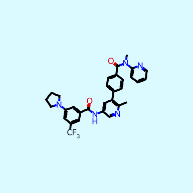 Cc1ncc(NC(=O)c2cc(N3CCCC3)cc(C(F)(F)F)c2)cc1-c1ccc(C(=O)N(C)c2ccccn2)cc1